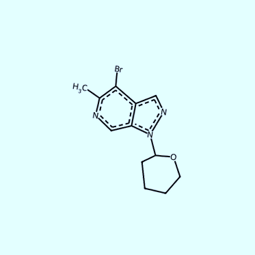 Cc1ncc2c(cnn2C2CCCCO2)c1Br